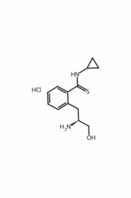 Cl.N[C@H](CO)Cc1ccccc1C(=S)NC1CC1